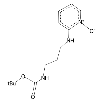 CC(C)(C)OC(=O)NCCCNc1cccc[n+]1[O-]